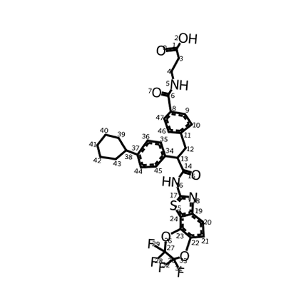 O=C(O)CCNC(=O)c1ccc(CC(C(=O)Nc2nc3ccc4c(c3s2)OC(F)(F)C(F)(F)O4)c2ccc(C3CCCCC3)cc2)cc1